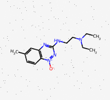 CCN(CC)CCNc1nc2cc(C)ccc2[n+]([O-])n1